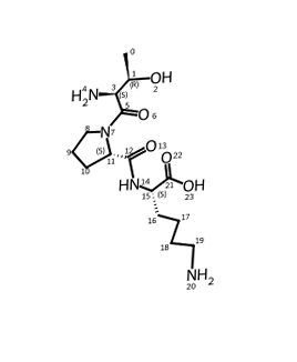 C[C@@H](O)[C@H](N)C(=O)N1CCC[C@H]1C(=O)N[C@@H](CCCCN)C(=O)O